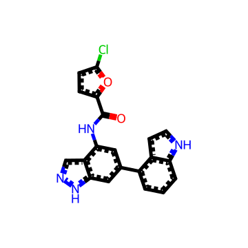 O=C(Nc1cc(-c2cccc3[nH]ccc23)cc2[nH]ncc12)c1ccc(Cl)o1